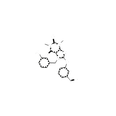 Cn1c(=O)c2c(nc(Oc3cccc(C=O)c3)n2Cc2cccc(Br)c2)n(C)c1=O